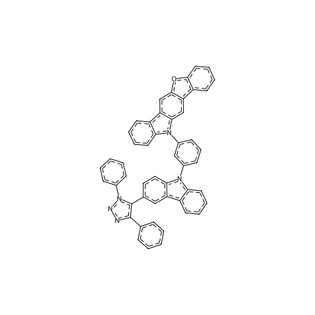 c1ccc(-c2nnn(-c3ccccc3)c2-c2ccc3c(c2)c2ccccc2n3-c2cccc(-n3c4ccccc4c4cc5oc6ccccc6c5cc43)c2)cc1